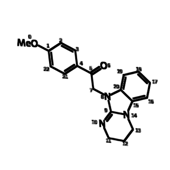 COc1ccc(C(=O)CN2C3=NCCCN3c3ccccc32)cc1